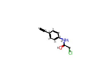 C#Cc1ccc(NC(=O)CCl)cc1